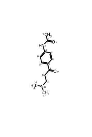 CC(=O)Nc1ccc(C(=O)CCN(C)C)cc1